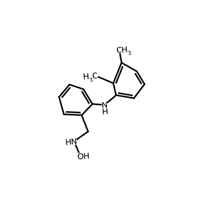 Cc1cccc(Nc2ccccc2CNO)c1C